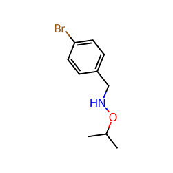 CC(C)ONCc1ccc(Br)cc1